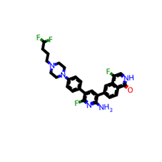 Nc1nc(F)c(-c2ccc(N3CCN(CCCC(F)F)CC3)cc2)cc1-c1ccc2c(=O)[nH]cc(F)c2c1